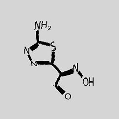 Nc1nnc(C([C]=O)=NO)s1